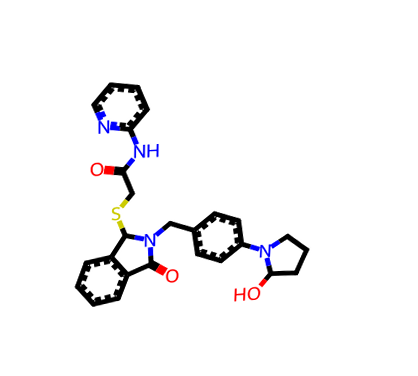 O=C(CSC1c2ccccc2C(=O)N1Cc1ccc(N2CCCC2O)cc1)Nc1ccccn1